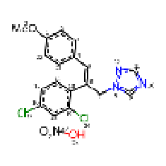 COc1ccc(C=C(Cn2cncn2)c2ccc(Cl)cc2Cl)cc1.O=[N+]([O-])O